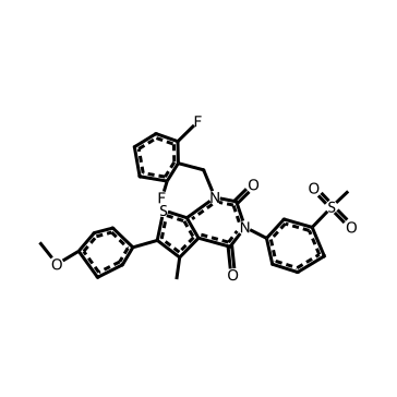 COc1ccc(-c2sc3c(c2C)c(=O)n(-c2cccc(S(C)(=O)=O)c2)c(=O)n3Cc2c(F)cccc2F)cc1